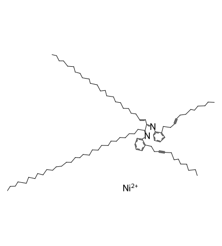 CCCCCCCCC#CCCc1ccccc1N=C(C=CCCCCCCCCCCCCCCCCCCCCCC)C(CCCCCCCCCCCCCCCCCCCCCCCCCCCCCC)=Nc1ccccc1CCC#CCCCCCCCC.[Ni+2]